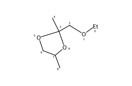 CCOCC1(C)OCC(C)O1